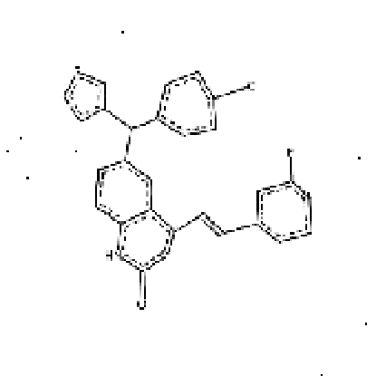 O=c1cc(C=Cc2cccc(F)c2)c2cc(C(c3ccc(Cl)cc3)c3ccsc3)ccc2[nH]1